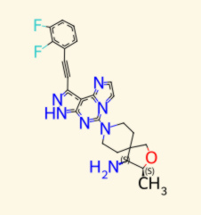 C[C@@H]1OCC2(CCN(c3nc4[nH]nc(C#Cc5cccc(F)c5F)c4c4nccn34)CC2)[C@@H]1N